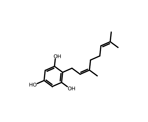 CC(C)=CCCC(C)=CCc1c(O)[c]c(O)cc1O